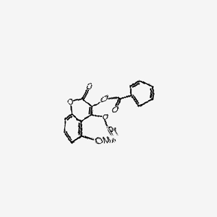 COc1cccc2oc(=O)c(OC(=O)c3ccccc3)c(OC(C)C)c12